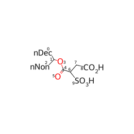 CCCCCCCCCCC(CCCCCCCCC)OC(=O)C(CC(=O)O)S(=O)(=O)O